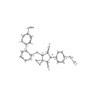 COc1ccc(-c2cnccc2CN2C(=O)N(c3ccc(SC(F)(F)F)cc3)C(=O)C23CC3)cc1